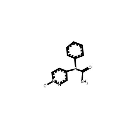 NC(=O)N(c1ccccc1)c1cc[n+]([O-])nc1